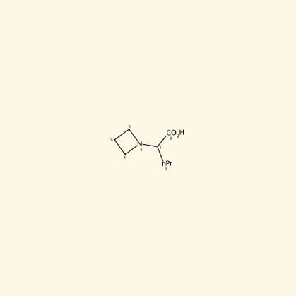 CCCC(C(=O)O)N1CCC1